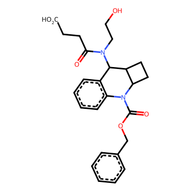 O=C(O)CCC(=O)N(CCO)C1c2ccccc2N(C(=O)OCc2ccccc2)C2CCC12